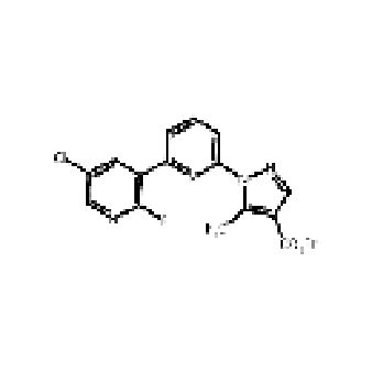 CCOC(=O)c1cnn(-c2cccc(-c3cc(Cl)cnc3F)n2)c1C(F)(F)F